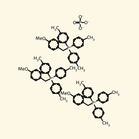 COc1ccc(C[P+](c2ccc(C)cc2)(c2ccc(C)cc2)c2ccc(C)cc2)cc1.COc1ccc(C[P+](c2ccc(C)cc2)(c2ccc(C)cc2)c2ccc(C)cc2)cc1.COc1ccc(C[P+](c2ccc(C)cc2)(c2ccc(C)cc2)c2ccc(C)cc2)cc1.O=P([O-])([O-])[O-]